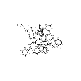 CCOC(=O)C1(C(=O)[C@H](CCCCN)NC(=O)[C@@H]2CCCN2C(=O)CC(c2ccccc2)c2ccccc2)CCN(C(=O)CC(c2ccccc2)c2ccccc2)[C@@]1(C(=O)N[C@@H](CCCCN)C(=O)c1cs[c]n1)c1nccs1